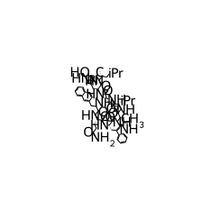 CC(C)C[C@H](NC(=O)[C@H](Cc1c[nH]cn1)NC(=O)CNC(=O)[C@@H](NC(=O)[C@H](C)NC(=O)[C@H](Cc1c[nH]c2ccccc12)NC(=O)[C@H](CCC(N)=O)NC(=O)[C@@H](N)Cc1ccc2ccccc2c1)C(C)C)C(=O)O